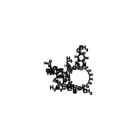 CC[C@@H]1[C@@H]2CN(C(=O)[C@H](C(C)(C)C)NC(=O)O[C@H](C)CCCCCCc3nc4ccc(OC)cc4nc3O2)[C@@H]1C(=O)N[C@]1(C(=O)NS(=O)(=O)C2CC2)C[C@H]1CC